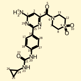 Nc1cc(C(=O)N2CCS(=O)(=O)CC2)nc(-c2ccc(NC(=O)NC3CC3)cc2)n1